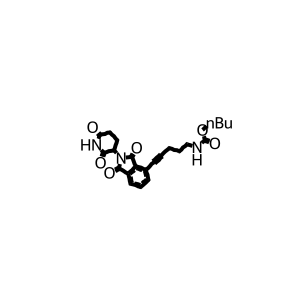 CCCCOC(=O)NCCCC#Cc1cccc2c1C(=O)N(C1CCC(=O)NC1=O)C2=O